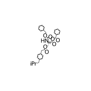 CC(C)Cc1ccc(CC(=O)OC[C@H](NC(=O)OCc2ccccc2)C(=O)OC(=O)c2ccccc2)cc1